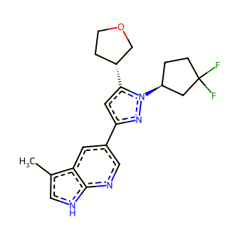 Cc1c[nH]c2ncc(-c3cc([C@@H]4CCOC4)n([C@H]4CCC(F)(F)C4)n3)cc12